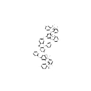 C[Si](C)(C)c1ccccc1N(c1cc(Oc2ccccc2)cc(Oc2ccc3c(=O)c4ccc(Oc5cc(Oc6ccccc6)cc(N(c6ccccc6[Si](C)(C)C)c6ccccc6[Si](C)(C)C)c5)cc4n(-c4ccccc4)c3c2)c1)c1ccccc1[Si](C)(C)C